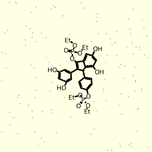 CCOP(=O)(OCC)OC1=C(c2cc(O)cc(O)c2)C(c2ccc(OP(=O)(OCC)OCC)cc2)c2c(O)cc(O)cc21